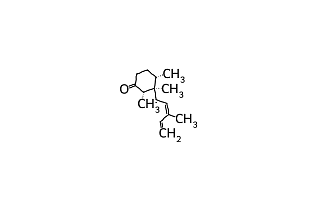 C=CC(C)=C[CH][C@@]1(C)[C@H](C)C(=O)CC[C@@H]1C